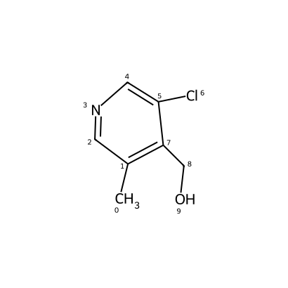 Cc1cncc(Cl)c1CO